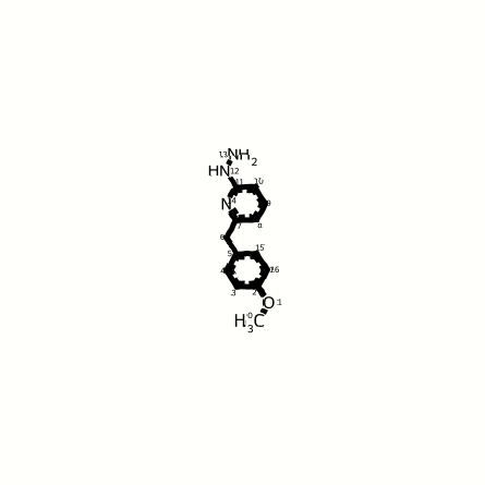 COc1ccc(Cc2cccc(NN)n2)cc1